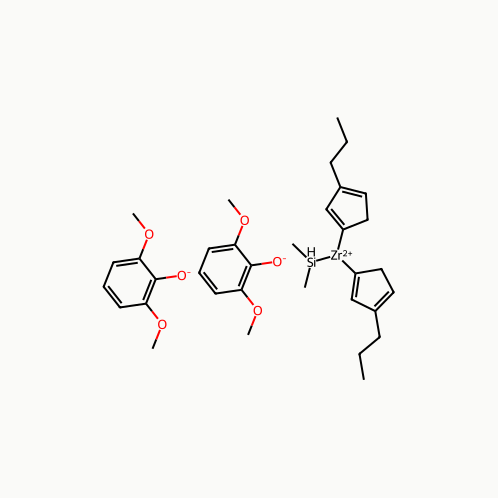 CCCC1=CC[C]([Zr+2]([C]2=CC(CCC)=CC2)[SiH](C)C)=C1.COc1cccc(OC)c1[O-].COc1cccc(OC)c1[O-]